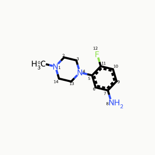 CN1CCN(c2cc(N)ccc2F)CC1